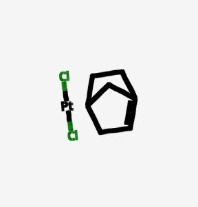 C1=C2CCC(C1)C2.[Cl][Pt][Cl]